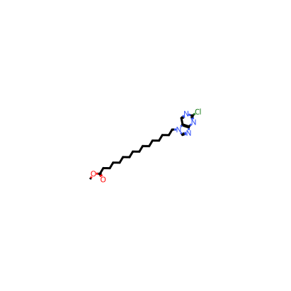 COC(=O)CCCCCCCCCCCCCCCn1cnc2nc(Cl)ncc21